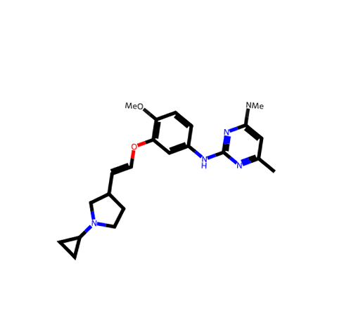 CNc1cc(C)nc(Nc2ccc(OC)c(O/C=C/C3CCN(C4CC4)C3)c2)n1